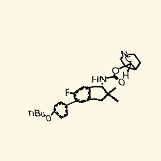 CCCCOc1ccc(-c2cc3c(cc2F)[C@H](NC(=O)O[C@@H]2CN4CCC2CC4)C(C)(C)C3)cc1